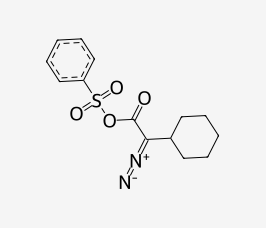 [N-]=[N+]=C(C(=O)OS(=O)(=O)c1ccccc1)C1CCCCC1